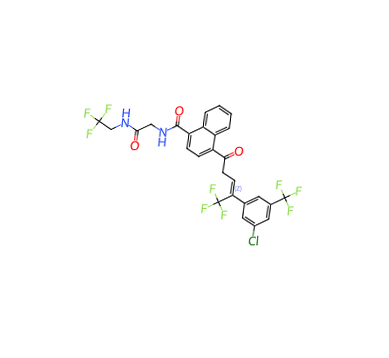 O=C(CNC(=O)c1ccc(C(=O)C/C=C(/c2cc(Cl)cc(C(F)(F)F)c2)C(F)(F)F)c2ccccc12)NCC(F)(F)F